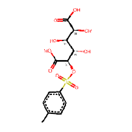 Cc1ccc(S(=O)(=O)O[C@@H](C(=O)O)[C@@H](O)[C@@H](O)[C@H](O)C(=O)O)cc1